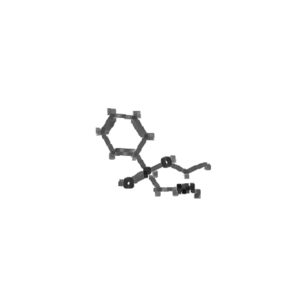 CCOP(=O)([CH]N)c1ccccc1